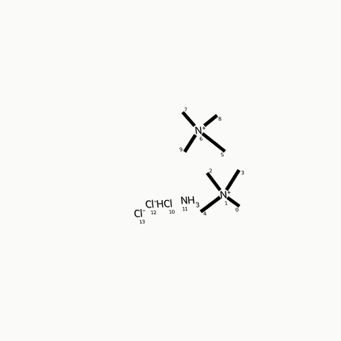 C[N+](C)(C)C.C[N+](C)(C)C.Cl.N.[Cl-].[Cl-]